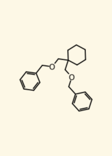 c1ccc(COCC2(COCc3ccccc3)CCCCC2)cc1